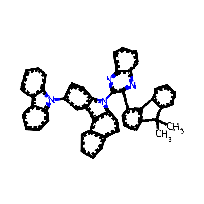 CC1(C)c2ccccc2-c2c(-c3nc4ccccc4nc3-n3c4ccc(-n5c6ccccc6c6ccccc65)cc4c4c5ccccc5ccc43)cccc21